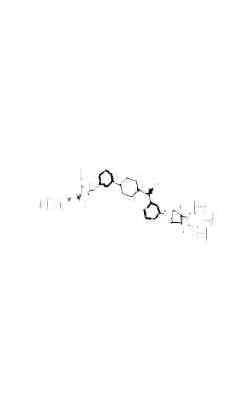 CC(C)(C)OC(=O)NCc1cccc(C2CCC(C(=O)c3cccc(N4C[C@](C)(O)[C@H](O)C4=O)c3)CC2)c1